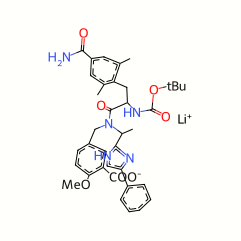 COc1ccc(CN(C(=O)C(Cc2c(C)cc(C(N)=O)cc2C)NC(=O)OC(C)(C)C)C(C)c2nc(-c3ccccc3)c[nH]2)cc1C(=O)[O-].[Li+]